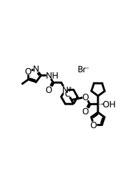 Cc1cc(NC(=O)C[N+]23CCC(CC2)C(OC(=O)[C@](O)(c2ccoc2)C2CCCC2)C3)no1.[Br-]